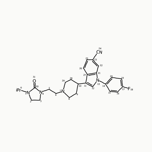 CC(C)N1CCN(CCN2CCC(c3cn(-c4ccc(F)cc4)c4cc(C#N)ccc34)CC2)C1=O